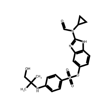 CC(C)(CO)Nc1ccc(S(=O)(=O)Oc2ccc3[nH]c(N(C=O)C4CC4)nc3c2)cc1